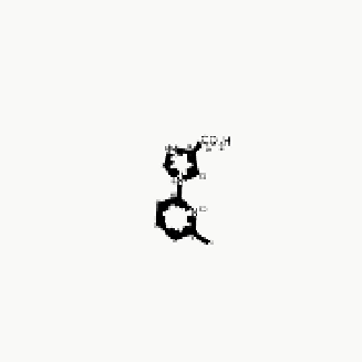 Cc1cccc(-n2cnc(C(=O)O)c2)n1